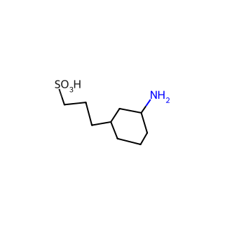 NC1CCCC(CCCS(=O)(=O)O)C1